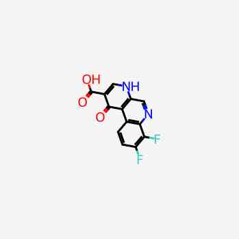 O=C(O)c1c[nH]c2cnc3c(F)c(F)ccc3c2c1=O